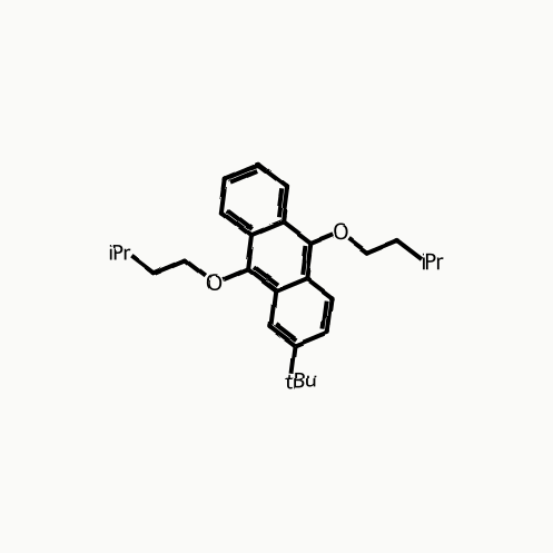 CC(C)CCOc1c2ccccc2c(OCCC(C)C)c2cc(C(C)(C)C)ccc12